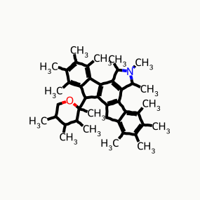 Cc1c(C)c(C)c2c(c1C)Cc1c-2c2c(c3c1C(C1(C)OCC(C)C(C)C1C)c1c(C)c(C)c(C)c(C)c1-3)C(C)N(C)C2C